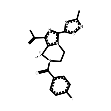 C=C(C)c1nc(-c2nc(C)ns2)n2c1[C@@H](C)N(C(=O)c1ccc(F)cc1)CC2